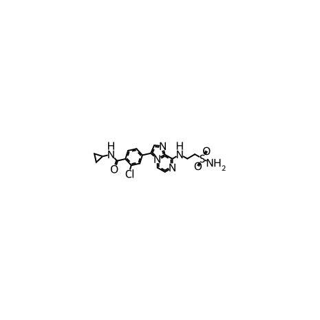 NS(=O)(=O)CCNc1nccn2c(-c3ccc(C(=O)NC4CC4)c(Cl)c3)cnc12